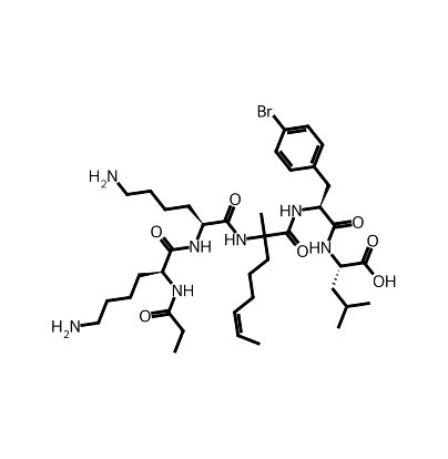 C/C=C\CCCC(C)(NC(=O)[C@H](CCCCN)NC(=O)[C@H](CCCCN)NC(=O)CC)C(=O)N[C@@H](Cc1ccc(Br)cc1)C(=O)N[C@@H](CC(C)C)C(=O)O